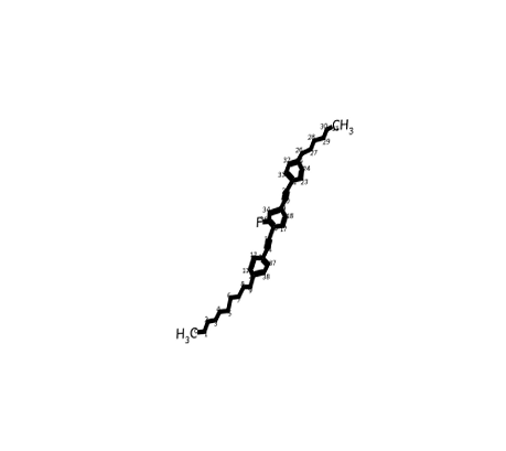 CCCCCCCCCCc1ccc(C#Cc2ccc(C#Cc3ccc(CCCCCC)cc3)cc2F)cc1